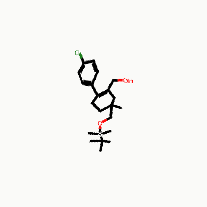 CC1(CO[Si](C)(C)C(C)(C)C)CCC(c2ccc(Cl)cc2)=C(CO)C1